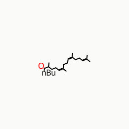 CCCCC(=O)C(C)CCC=C(C)CCC=C(C)CCC=C(C)C